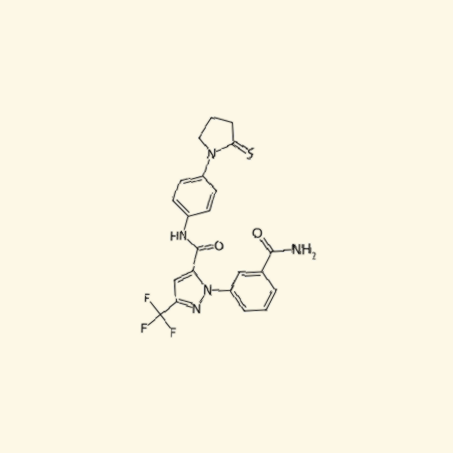 NC(=O)c1cccc(-n2nc(C(F)(F)F)cc2C(=O)Nc2ccc(N3CCCC3=S)cc2)c1